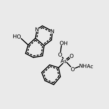 CC(=O)NO[As](=O)(OO)c1ccccc1.Oc1cccc2cncnc12